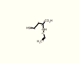 C=CCNC(CCS)C(=O)O